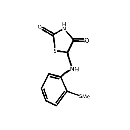 CSc1ccccc1NC1SC(=O)NC1=O